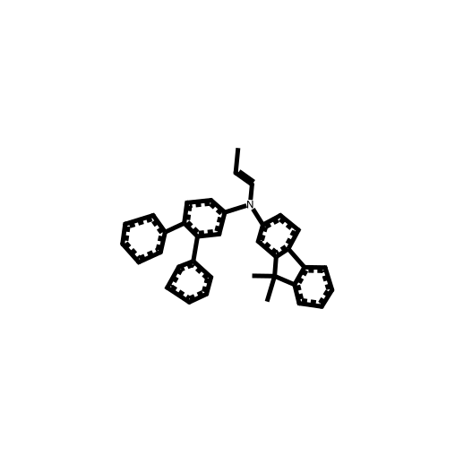 C/C=C/N(c1ccc(-c2ccccc2)c(-c2ccccc2)c1)c1ccc2c(c1)C(C)(C)c1ccccc1-2